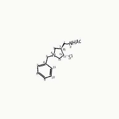 CC(=O)NC[C@@H]1CN(Cc2ccccc2)C[C@H]1Cl